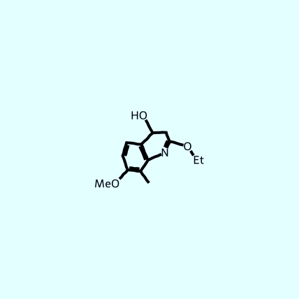 CCOC1=Nc2c(ccc(OC)c2C)C(O)C1